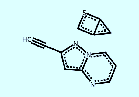 C#Cc1cc2ncccn2n1.c1sc2cc1-2